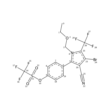 CCOCn1c(-c2ccc(OS(=O)(=O)C(F)(F)F)cc2)c(C#N)c(Br)c1C(F)(F)F